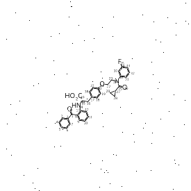 O=C(c1ccccc1)c1ccccc1N[C@@H](Cc1ccc(OCCN(C(=O)C2CC2)c2cccc(F)c2)cc1)C(=O)O